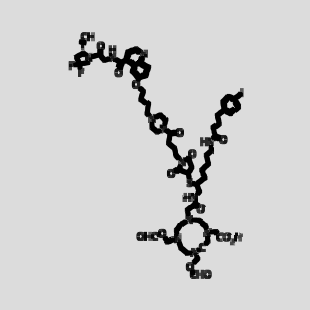 C#C[C@H]1CC(F)(F)CN1C(=O)CNC(=O)c1ccnc2ccc(OCCCCN3CCN(C(=O)CCCN4C(=O)CC(SC(CCCCCNC(=O)CCCc5ccc(I)cc5)CNC(=O)CN5CCN(COC=O)CCN(COC=O)CCN(CC(=O)O)CC5)C4=O)CC3)cc12